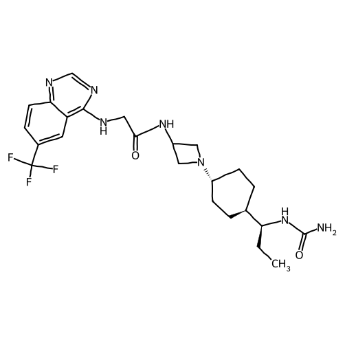 CC[C@H](NC(N)=O)[C@H]1CC[C@H](N2CC(NC(=O)CNc3ncnc4ccc(C(F)(F)F)cc34)C2)CC1